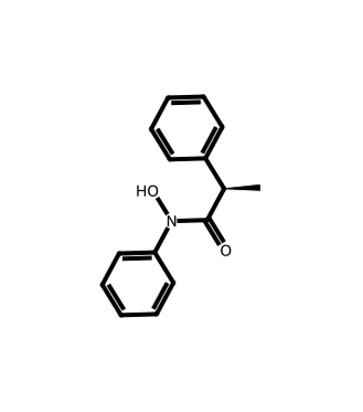 C[C@@H](C(=O)N(O)c1ccccc1)c1ccccc1